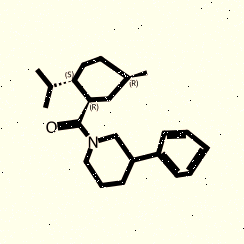 CC(C)[C@@H]1CC[C@@H](C)C[C@H]1C(=O)N1CCCC(c2ccccc2)C1